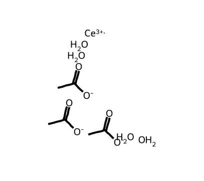 CC(=O)[O-].CC(=O)[O-].CC(=O)[O-].O.O.O.O.[Ce+3]